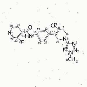 Cn1nnc(N2CCC(Cl)=C(c3ccc(NC(=O)c4ccncc4F)cc3)C2)n1